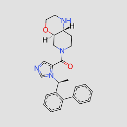 C[C@@H](c1ccccc1-c1ccccc1)n1cncc1C(=O)N1CC[C@H]2NCCO[C@@H]2C1